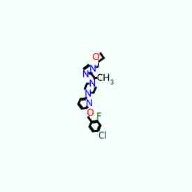 CC(c1nccn1C[C@@H]1CCO1)N1CCN(c2cccc(OCc3ccc(Cl)cc3F)n2)CC1